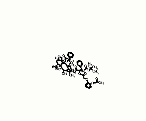 CC(=O)O[C@@]12CO[C@@H]1C[C@H](O)[C@@]1(C)[C@H](O)[C@H](O)C3[C@H](C)[C@@H](OC(=O)[C@H](OC(=O)COc4ccccc4OCC(=O)O)[C@@H](NC(=O)OC(C)(C)C)c4ccccc4)C[C@@](O)([C@@H](OC(=O)c4ccccc4)[C@H]21)C3(C)C